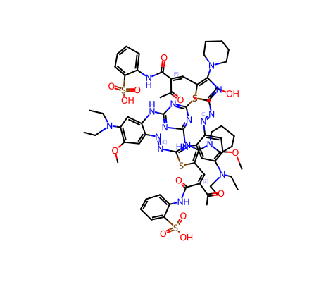 CCN(CC)c1cc(Nc2nc(Nc3cc(N(CC)CC)c(OC)cc3/N=N/c3nc(N4CCCCC4)c(/C=C(\C(C)=O)C(=O)Nc4ccccc4S(=O)(=O)O)s3)nc(SCCO)n2)c(/N=N/c2nc(N3CCCCC3)c(/C=C(/C(C)=O)C(=O)Nc3ccccc3S(=O)(=O)O)s2)cc1OC